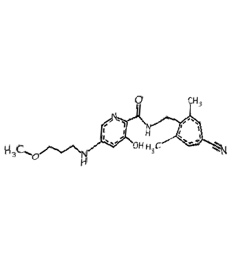 COCCCNc1cnc(C(=O)NCc2c(C)cc(C#N)cc2C)c(O)c1